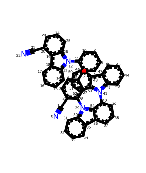 N#Cc1ccc(-c2ccccc2-n2c3ccccc3c3c(C#N)cccc32)cc1-n1c2ccccc2c2cccc(-n3c4ccccc4c4ccccc43)c21